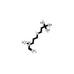 C=C[SiH](C)CCCOCCC(O)(O)O